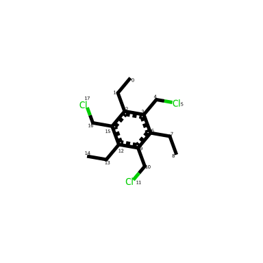 CCc1c(CCl)c(CC)c(CCl)c(CC)c1CCl